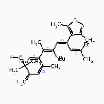 C=C(\C=C(C)/C(=C\CCCC)C(/C)=C(/C=C(\C=C(\C)CC)c1c(C)noc1C)CCCC)C(C)(C)OF